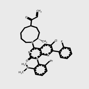 C=CC(=O)C1CCCCN(c2nc(=O)n(-c3c(C(C)C)cccc3N(C)C)c3nc(-c4ccccc4F)c(Cl)cc23)[C@@H](C)CC1